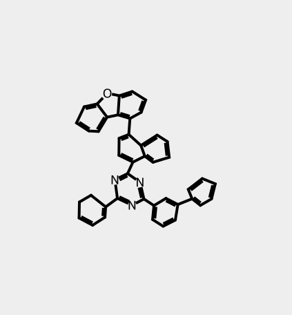 C1=CCCC(c2nc(-c3cccc(-c4ccccc4)c3)nc(-c3ccc(-c4cccc5oc6ccccc6c45)c4ccccc34)n2)=C1